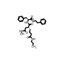 CCCNC(=O)CCC[C@H](CC(=O)NO)C(=O)N[C@@H](Cc1ccccc1)C(=O)NCCc1ccccc1